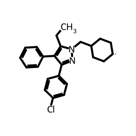 CCc1c(-c2ccccc2)c(-c2ccc(Cl)cc2)nn1CC1CC[CH]CC1